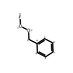 FOOCc1ccccc1